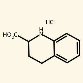 Cl.O=C(O)C1CCc2ccccc2N1